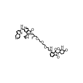 O=C1CCC(N2C(=O)c3cccc(NCCOCCOCCOCC(F)CNC(=O)c4cnc(Nc5ccc6cnccc6n5)cc4NC4CC4)c3C2=O)C(=O)N1